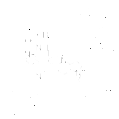 CC(=O)Nc1ncc(CN2CCCC(c3cc4c(ccn4C)nc3C)C2)s1